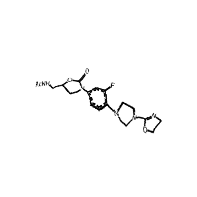 CC(=O)NCC1CN(c2ccc(N3CCN(C4=NCCO4)CC3)c(F)c2)C(=O)O1